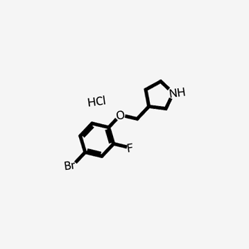 Cl.Fc1cc(Br)ccc1OCC1CCNC1